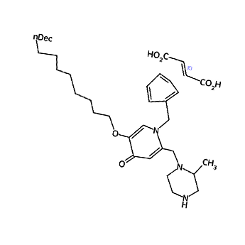 CCCCCCCCCCCCCCCCCCOc1cn(Cc2ccccc2)c(CN2CCNCC2C)cc1=O.O=C(O)/C=C/C(=O)O